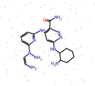 N/C=C\N(N)c1cccc(Nc2cc(NC3CCCCC3N)nnc2C(N)=O)n1